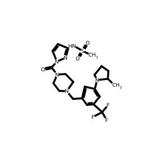 CC1CCCN1c1cc(CN2CCN(C(=O)n3ccc(NS(C)(=O)=O)n3)CC2)cc(C(F)(F)F)c1